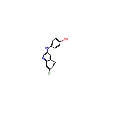 Oc1ccc(Nc2cnc3cc(Cl)ccc3c2)cc1